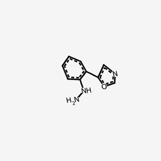 NNc1ccccc1-c1cnco1